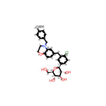 COc1ccc(CN2CCOc3ccc(Cc4cc([C@@H]5O[C@H](CO)[C@@H](O)[C@H](O)[C@H]5O)ccc4Cl)cc32)cc1